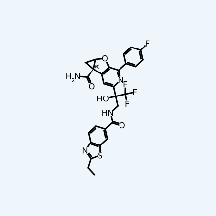 CCc1nc2ccc(C(=O)NCC(O)(c3cc4c(c(-c5ccc(F)cc5)n3)OC3C[C@@]43C(N)=O)C(F)(F)F)cc2s1